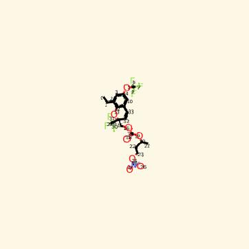 CCc1cc(OC(F)(F)F)cc2c1O[C@@](COC(=O)OC(C)CCO[N+](=O)[O-])(C(F)(F)F)C=C2